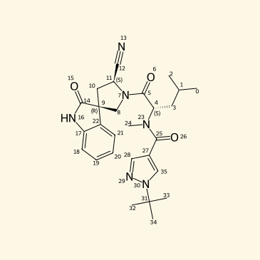 CC(C)C[C@@H](C(=O)N1C[C@]2(C[C@H]1C#N)C(=O)Nc1ccccc12)N(C)C(=O)c1cnn(C(C)(C)C)c1